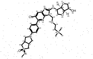 CN=S1(=O)CC2CN(c3ccc(-c4nc5c(cc4Cl)nc(O[C@@H]4CO[C@H]6[C@@H]4OC[C@H]6O)n5COCC[Si](C)(C)C)cc3)CC2C1